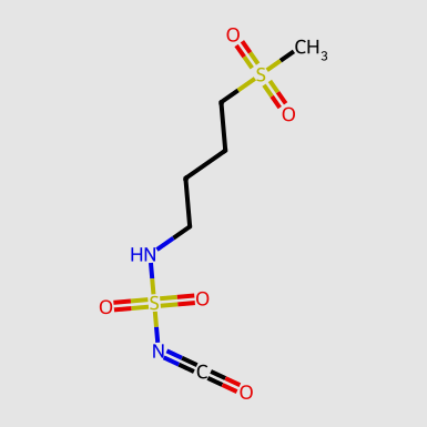 CS(=O)(=O)CCCCNS(=O)(=O)N=C=O